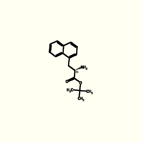 CC(C)(C)OC(=O)[C@@H](N)Cc1cccc2ccccc12